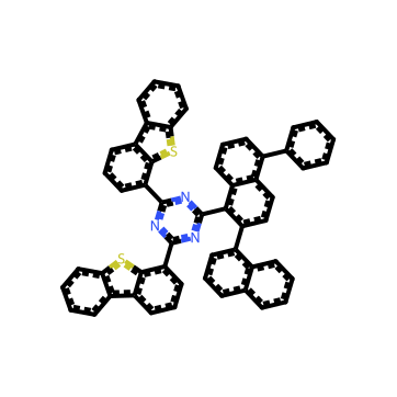 c1ccc(-c2cccc3c(-c4nc(-c5cccc6c5sc5ccccc56)nc(-c5cccc6c5sc5ccccc56)n4)c(-c4cccc5ccccc45)ccc23)cc1